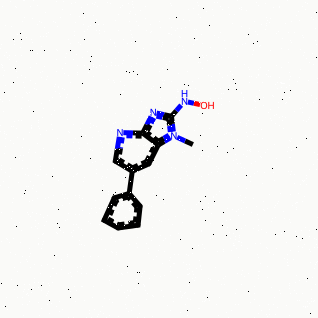 Cn1c(NO)nc2ncc(-c3ccccc3)cc21